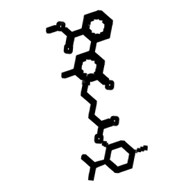 COC(=O)c1ccccc1-c1cc(C)n(CCCC(=O)O[C@@H]2C[C@H](C)CC[C@H]2C(C)C)c(=O)c1